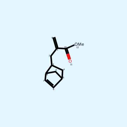 C=C(CC1CC2C=CC1C2)C(=O)OC